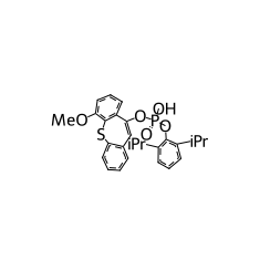 COc1cccc2c1Sc1ccccc1C=C2OP(=O)(O)Oc1c(C(C)C)cccc1C(C)C